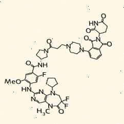 COc1cc(C(=O)N[C@@H]2CCN(C(=O)CCN3CCN(c4cccc5c4C(=O)N(C4CCC(=O)NC4=O)C5=O)CC3)C2)c(F)cc1Nc1ncc2c(n1)N(C1CCCC1)CC(F)(F)C(=O)N2C